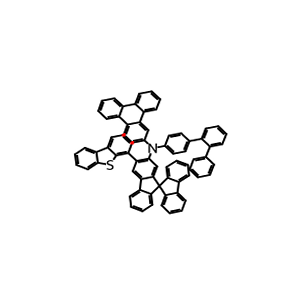 c1ccc(-c2ccccc2-c2ccc(N(c3ccc4c5ccccc5c5ccccc5c4c3)c3cc4c(cc3-c3cccc5c3sc3ccccc35)-c3ccccc3C43c4ccccc4-c4ccccc43)cc2)cc1